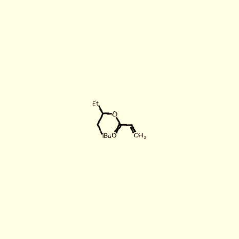 C=CC(=O)OC(CC)CC(C)CC